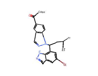 CCC(CC)CC(c1cc(Br)cc2cn[nH]c12)n1ncc2cc(C(=O)OC)ccc21